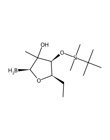 B[C@@H]1O[C@H](CC)[C@H](O[Si](C)(C)C(C)(C)C)C1(C)O